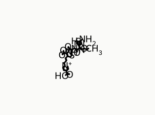 CCO/N=C(/C(=O)NC1C(=O)N2C(C(=O)[O-])=C(/C=C/C[n+]3ccc(C(=O)O)cc3)CS[C@H]12)c1nsc(N)n1